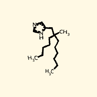 CCCCCCC(C)(CCCCC)Cc1cnc[nH]1